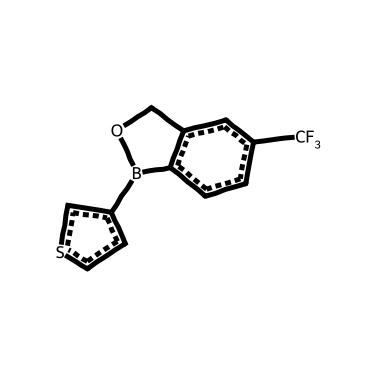 FC(F)(F)c1ccc2c(c1)COB2c1ccsc1